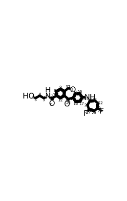 O=C(NCCCO)c1ccc2c(c1)C(=O)c1ccc(NC3=CC=C(F)C=C(F)C3)cc1OC2